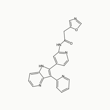 O=C(Cc1cnco1)Nc1cc(-c2[nH]c3cccnc3c2-c2ccccn2)ccn1